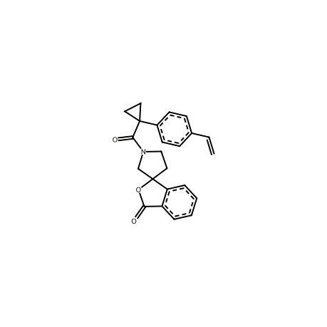 C=Cc1ccc(C2(C(=O)N3CCC4(C3)OC(=O)c3ccccc34)CC2)cc1